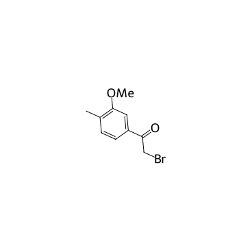 COc1cc(C(=O)CBr)ccc1C